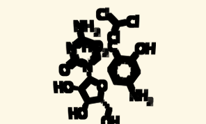 ClC(Cl)Cl.Nc1ccc(C(=O)O)c(O)c1.Nc1ccn([C@@H]2O[C@H](CO)[C@@H](O)[C@@H]2O)c(=O)n1